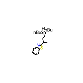 CCC[CH2][SnH]([CH2]CCC)[CH2]CC(C)c1nc2ccccc2s1